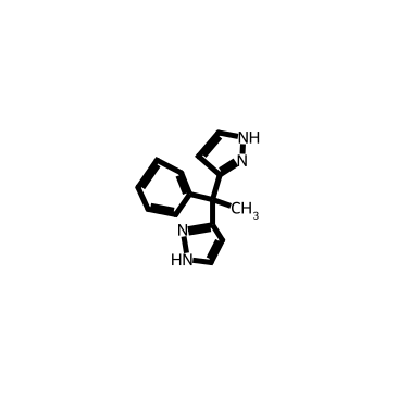 CC(c1ccccc1)(c1cc[nH]n1)c1cc[nH]n1